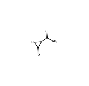 NC(=O)B1NC1=O